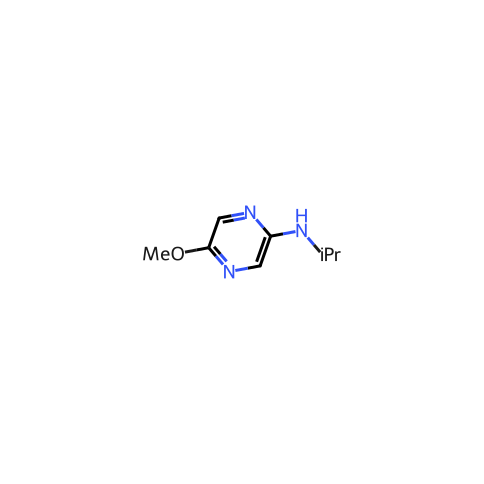 COc1cnc(NC(C)C)cn1